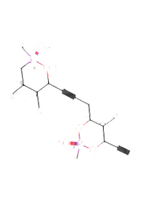 C#CC1OP(C)(=O)OC(CC#CC2OP(C)(=O)CC(C)C2C)C1C